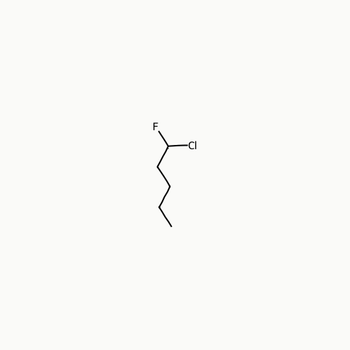 CCCC[C](F)Cl